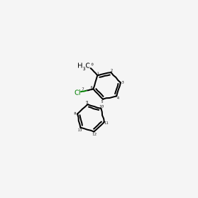 Cc1ccccc1Cl.c1ccccc1